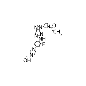 C=CC(=O)N1CCC(n2cnc3cnc(Nc4ccc(N5CCN(CCO)CC5)cc4F)nc32)C1